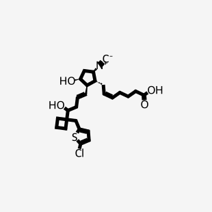 [C-]#[N+][C@@H]1C[C@@H](O)[C@H](/C=C/CC(O)C2(Cc3ccc(Cl)s3)CCC2)[C@H]1C/C=C\CCCC(=O)O